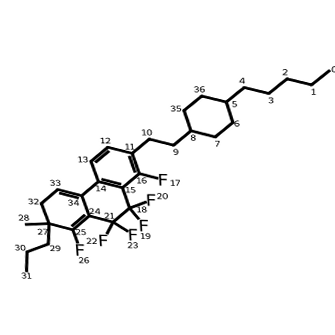 CCCCCC1CCC(CCc2ccc3c(c2F)C(F)(F)C(F)(F)C2=C(F)C(C)(CCC)CC=C23)CC1